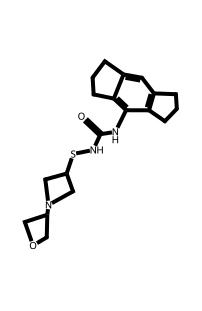 O=C(NSC1CN(C2COC2)C1)Nc1c2c(cc3c1CCC3)CCC2